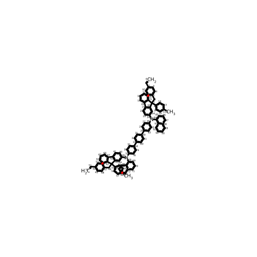 C=Cc1ccc(CC2(c3ccc(C)cc3)c3ccccc3-c3ccc(N(c4ccc(-c5ccc(-c6ccc(N(c7ccc8c(c7)C(Cc7ccc(C=C)cc7)(c7ccc(C)cc7)c7ccccc7-8)c7cccc8ccccc78)cc6)cc5)cc4)c4cccc5ccccc45)cc32)cc1